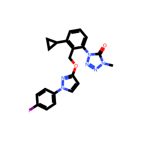 Cn1nnn(-c2cccc(C3CC3)c2COc2ccn(-c3ccc(I)cc3)n2)c1=O